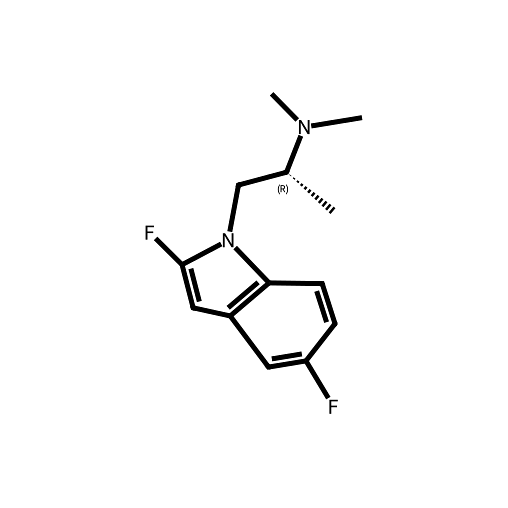 C[C@H](Cn1c(F)cc2cc(F)ccc21)N(C)C